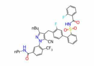 CCCCc1nn(-c2cc(C(=O)NCCC)ccc2C(F)(F)F)c(C#N)c1Cc1ccc(-c2ccccc2S(=O)(=O)NC(=O)c2ccccc2F)cc1F